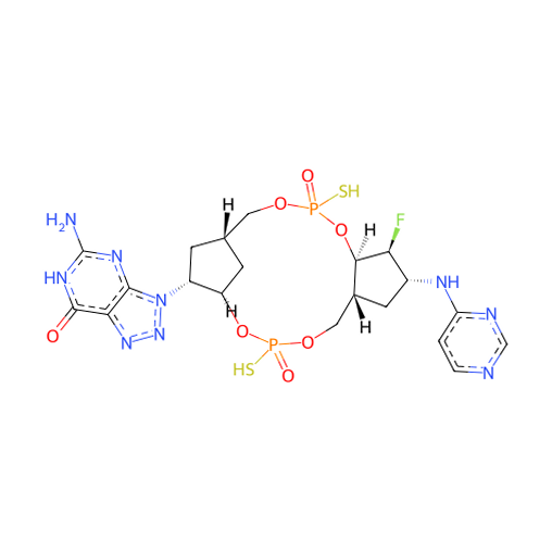 Nc1nc2c(nnn2[C@@H]2C[C@@H]3COP(=O)(S)O[C@@H]4[C@@H](COP(=O)(S)O[C@@H]2C3)C[C@@H](Nc2ccncn2)[C@@H]4F)c(=O)[nH]1